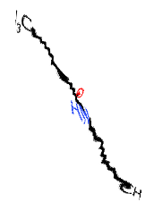 CCCCCCCCCCCCCCCCCC(=O)CCNCCCCCCCCCCCCCCCC